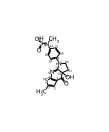 Cc1cc2c(s1)N=C1N(c3ccc(N(C)[SH](=O)=O)cc3)CCC1(O)C2=O